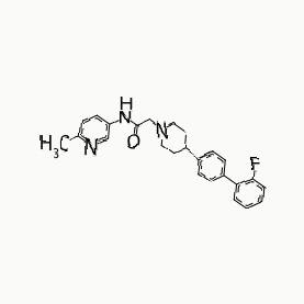 Cc1ccc(NC(=O)CN2CCC(c3ccc(-c4ccccc4F)cc3)CC2)cn1